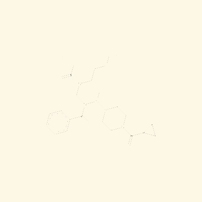 COCCN(CN(C(=O)c1ccccc1)N(C)N1CCN(C(=O)C2CC2)CC1)C(=O)OC